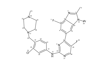 Cc1nc2c(F)cc(-c3nc(Nc4ccc(CN5CCN(C)CC5)c(Cl)c4)ncc3F)cc2n1C(C)C